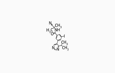 CC(C)c1ncncc1-c1cc(I)cc(C(=O)NC(C)(C)C#N)c1